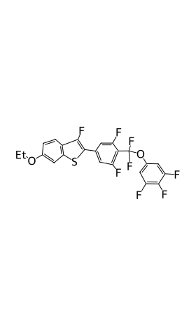 CCOc1ccc2c(F)c(-c3cc(F)c(C(F)(F)Oc4cc(F)c(F)c(F)c4)c(F)c3)sc2c1